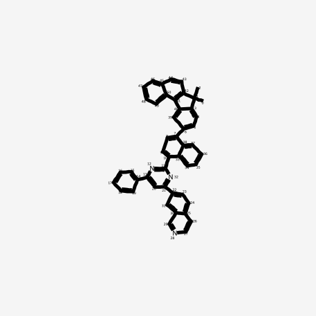 CC1(C)c2ccc(-c3ccc(-c4nc(-c5ccccc5)cc(-c5ccc6ccncc6c5)n4)c4ccccc34)cc2-c2c1ccc1ccccc21